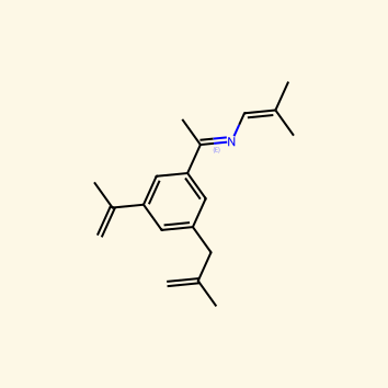 C=C(C)Cc1cc(C(=C)C)cc(/C(C)=N/C=C(C)C)c1